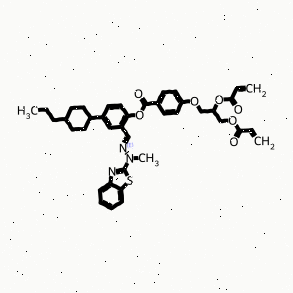 C=CC(=O)OCC(COc1ccc(C(=O)Oc2ccc(C3CCC(CCC)CC3)cc2/C=N/N(C)c2nc3ccccc3s2)cc1)OC(=O)C=C